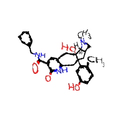 Cc1ccc(O)cc1[C@@]12Cc3[nH]c(=O)c(C(=O)NCc4ccccc4)cc3C[C@@]1(O)[C@H]1C(CN1C)C2